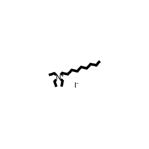 CCCCCCCCC[N+](CC)(CC)CC.[I-]